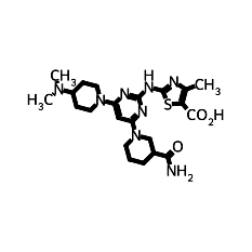 Cc1nc(Nc2nc(N3CCC(N(C)C)CC3)cc(N3CCCC(C(N)=O)C3)n2)sc1C(=O)O